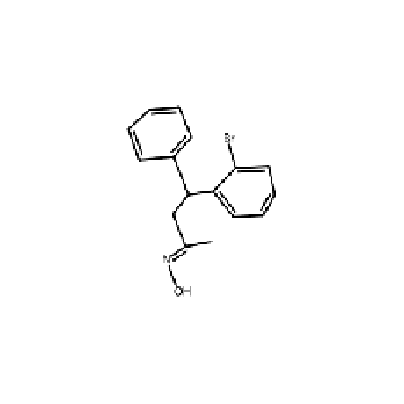 C/C(CC(c1ccccc1)c1ccccc1Br)=N\O